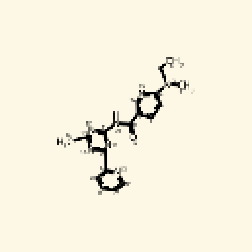 CCN(C)c1ccc(C(=O)Nc2nc(C)nc(-c3ccccn3)n2)cn1